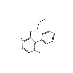 Cc1ccc(O)c(CO[SiH2]C(C)(C)C)c1-c1ccccc1